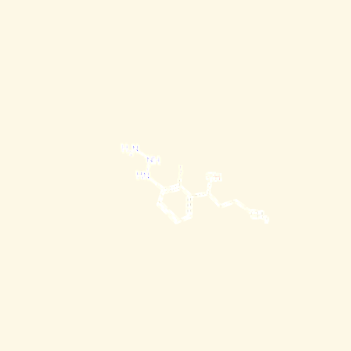 CCCC(O)c1cccc(NNN)c1I